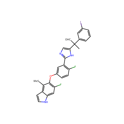 CSc1c(Oc2ccc(F)c(-c3ncc(C(C)(C=O)c4cccc(I)c4)[nH]3)c2)c(F)cc2[nH]ccc12